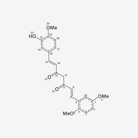 COc1ccc(OC)c(C=CC(=O)CC(=O)C=Cc2ccc(OC)c(O)c2)c1